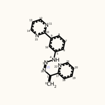 C=C(/N=N\Nc1cccc(-c2ncccn2)c1)c1ccccn1